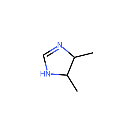 CC1N=[C]NC1C